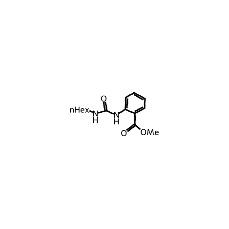 CCCCCCNC(=O)Nc1ccccc1C(=O)OC